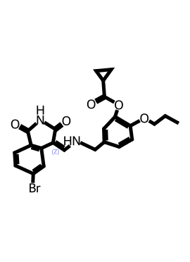 CCCOc1ccc(CN/C=C2\C(=O)NC(=O)c3ccc(Br)cc32)cc1OC(=O)C1CC1